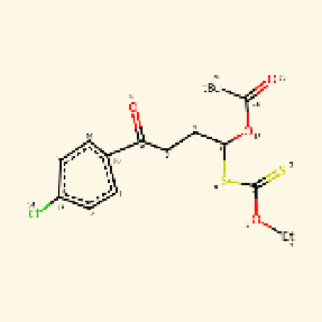 CCOC(=S)SC(CCC(=O)c1ccc(Cl)cc1)OC(=O)C(C)(C)C